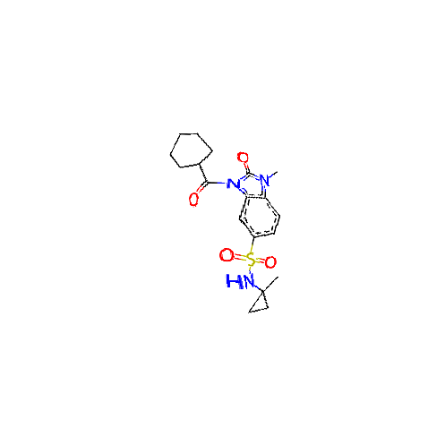 Cn1c(=O)n(C(=O)C2CCCCC2)c2cc(S(=O)(=O)NC3(C)CC3)ccc21